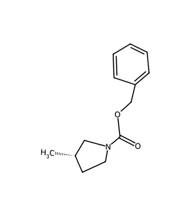 C[C@H]1CCN(C(=O)OCc2ccccc2)C1